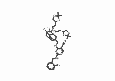 CC1(C)OC[C@H](CCN(CC[C@H]2COC(C)(C)O2)[C@@H]2[C@@H]3CC4C[C@H]2CC(CNc2nc(NCc5ccccc5Cl)ncc2C#N)(C4)C3)O1